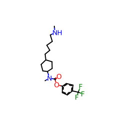 CNCCCCCC1CCC(N(C)C(=O)Oc2ccc(C(F)(F)F)cc2)CC1